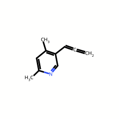 C=C=Cc1cnc(C)cc1C